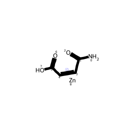 NC(=O)/C=C\C(=O)O.[Zn]